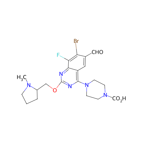 CN1CCCC1COc1nc(N2CCN(C(=O)O)CC2)c2cc(C=O)c(Br)c(F)c2n1